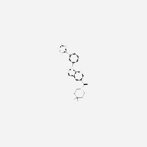 O=C(c1cnc2c(cnn2-c2cccc(-c3nnc[nH]3)c2)c1)N1CCC(F)(F)CC1